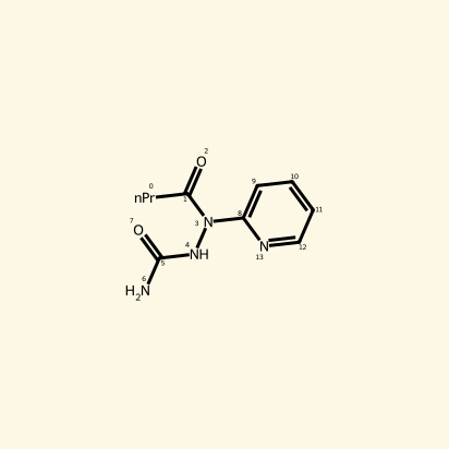 CCCC(=O)N(NC(N)=O)c1ccccn1